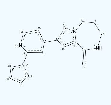 O=C1NCCCn2nc(-c3ccnc(-n4cccc4)c3)cc21